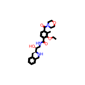 CCOc1c(C(=O)NC[C@@H](O)[C@@H]2Cc3ccccc3CN2)ccc(C(=O)N2CCOCC2)c1C